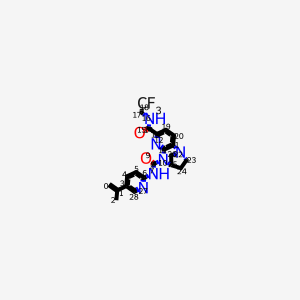 C=C(C)c1ccc(NC(=O)N2c3nc(C(=O)NCC(F)(F)F)ccc3N3CCC2C3)nc1